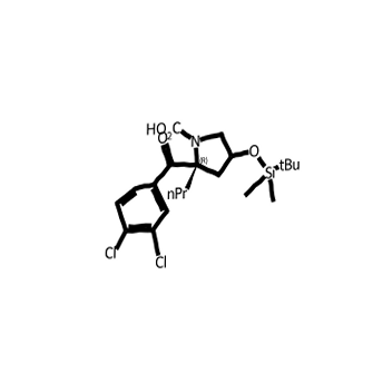 CCC[C@]1(C(=O)c2ccc(Cl)c(Cl)c2)CC(O[Si](C)(C)C(C)(C)C)CN1C(=O)O